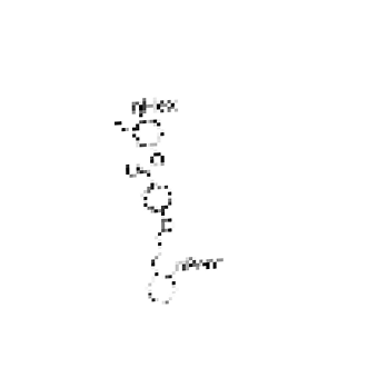 CCCCCCc1ccc(OC(=O)c2ccc(OCCCC3CCCCC3CCCCC)cc2)cc1F